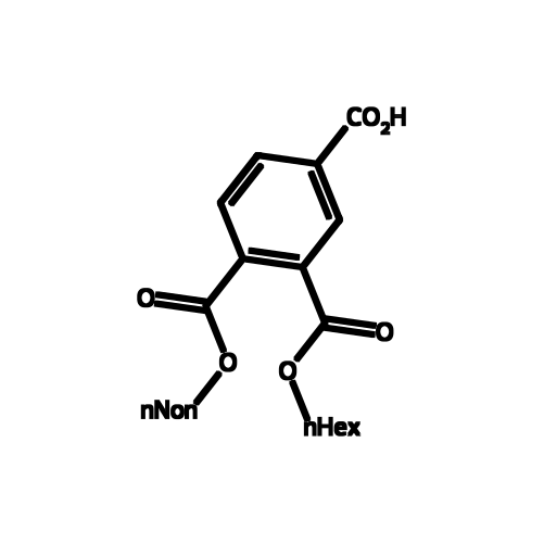 CCCCCCCCCOC(=O)c1ccc(C(=O)O)cc1C(=O)OCCCCCC